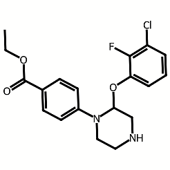 CCOC(=O)c1ccc(N2CCNCC2Oc2cccc(Cl)c2F)cc1